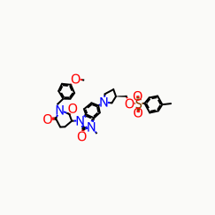 COc1ccc(CN2C(=O)CCC(n3c(=O)n(C)c4cc(N5CC[C@@H](COS(=O)(=O)c6ccc(C)cc6)C5)ccc43)C2=O)cc1